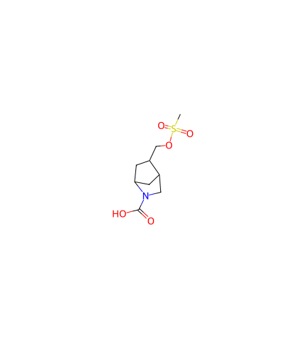 CS(=O)(=O)OCC1CC2CC1CN2C(=O)O